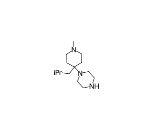 CC(C)CC1(N2CCNCC2)CCN(C)CC1